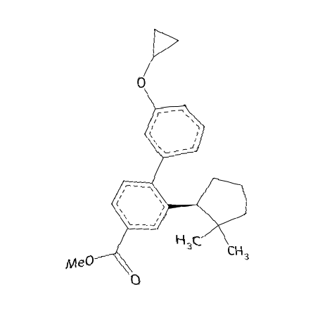 COC(=O)c1ccc(-c2cccc(OC3CC3)c2)c([C@H]2CCCC2(C)C)c1